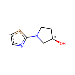 O[C@@H]1CCN(c2nc[c]s2)C1